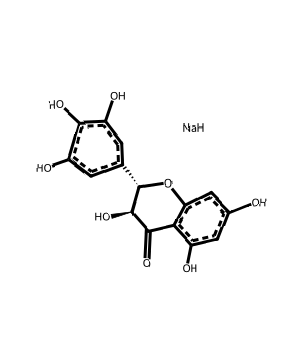 O=C1c2c(O)cc(O)cc2O[C@@H](c2cc(O)c(O)c(O)c2)[C@@H]1O.[NaH]